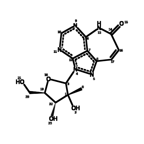 C[C@]1(O)C(n2nc3c4c(ncnc42)NC(=O)C=C3)O[C@H](CO)[C@H]1O